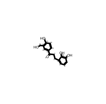 O=C(CCc1cccc(O)c1O)c1ccc(O)c(CO)c1